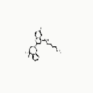 Cc1ccc2nc(N3CCC(F)(F)c4ccccc4C3)cc(NCCCCN)c2c1